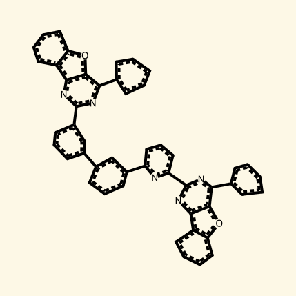 c1ccc(-c2nc(-c3cccc(-c4cccc(-c5cccc(-c6nc(-c7ccccc7)c7oc8ccccc8c7n6)n5)c4)c3)nc3c2oc2ccccc23)cc1